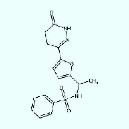 CC(NS(=O)(=O)c1ccccc1)c1ccc(C2=NNC(=O)CC2)o1